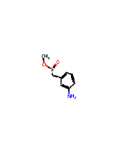 CO[S@](=O)Cc1cccc(N)c1